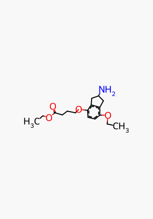 CCOC(=O)CCCOc1ccc(OCC)c2c1CC(N)C2